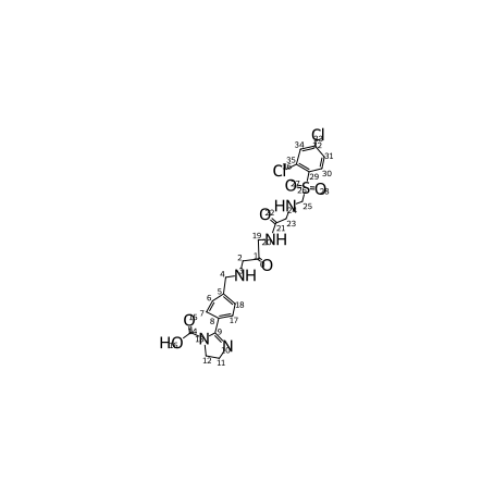 O=C(CNCc1ccc(C2=NCCN2C(=O)O)cc1)CNC(=O)CNCS(=O)(=O)c1ccc(Cl)cc1Cl